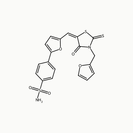 NS(=O)(=O)c1ccc(-c2ccc(C=C3SC(=S)N(Cc4ccco4)C3=O)o2)cc1